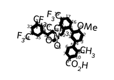 COc1ccc(-c2ccc(C(=O)O)cc2C)cc1-c1ccc(C(F)(F)F)cc1CN1C(=O)OC(C2=CC(C(F)(F)F)=CC(C(F)(F)F)C2)C1(C)C